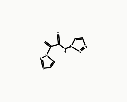 C=C(C(=O)Nn1ccnn1)n1ccnn1